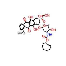 COc1cccc2c1C(=O)c1c(O)c3c(c(O)c1C2=O)C[C@@](O)(C(=O)CO)C[C@@H]3O[C@H]1CC(NC(=O)O[C@@H]2/C=C/CCCCC2)[C@H](O)C(C)O1